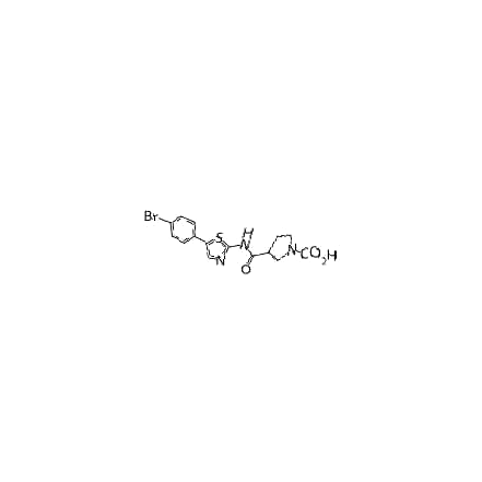 O=C(Nc1ncc(-c2ccc(Br)cc2)s1)C1CCN(C(=O)O)C1